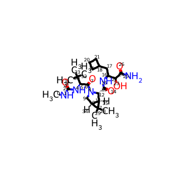 CNC(=O)N[C@H](C(=O)N1C[C@H]2[C@@H]([C@H]1C(=O)NC(CC1CCC1)C(O)C(N)=O)C2(C)C)C(C)(C)C